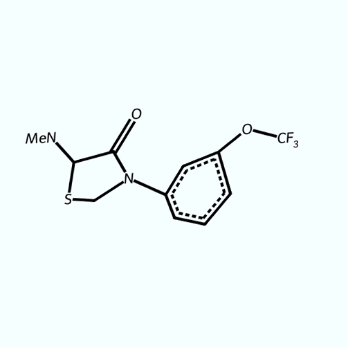 CNC1SCN(c2cccc(OC(F)(F)F)c2)C1=O